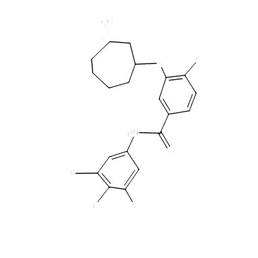 O=C(Nc1cc(F)c(F)c(F)c1)c1ccc(F)c(SC2CCCC[C@H](O)C2)c1